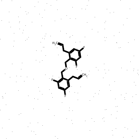 C=CCc1cc(F)cc(F)c1COCc1c(F)cc(F)cc1CC=C